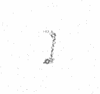 Cc1ccc(S(=O)(=O)OCCOCCOCCOCCN2CCN(C(=O)O)CC2)cc1